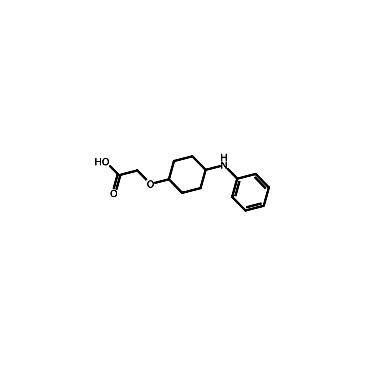 O=C(O)COC1CCC(Nc2ccccc2)CC1